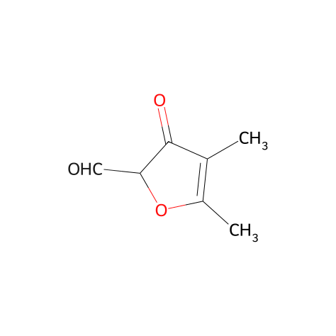 CC1=C(C)C(=O)C(C=O)O1